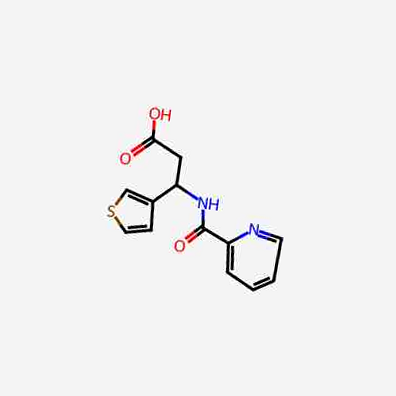 O=C(O)CC(NC(=O)c1ccccn1)c1ccsc1